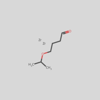 CC(C)OCCCC=O.[Zr].[Zr]